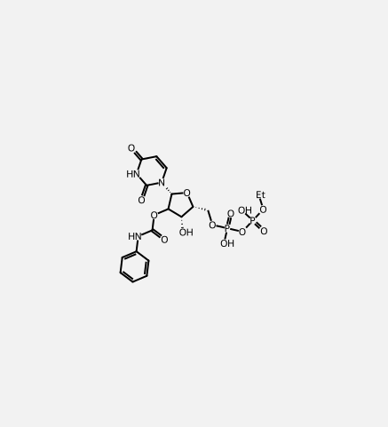 CCOP(=O)(O)OP(=O)(O)OC[C@H]1O[C@@H](n2ccc(=O)[nH]c2=O)C(OC(=O)Nc2ccccc2)[C@H]1O